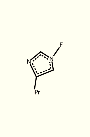 CC(C)c1cn(F)cn1